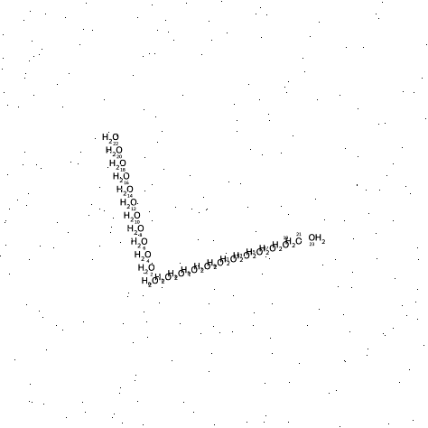 O.O.O.O.O.O.O.O.O.O.O.O.O.O.O.O.O.O.O.O.O.O.O.O